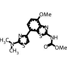 COC(=O)Nc1nc2c(OC)ccc(-c3csc(N(C)C)n3)c2s1